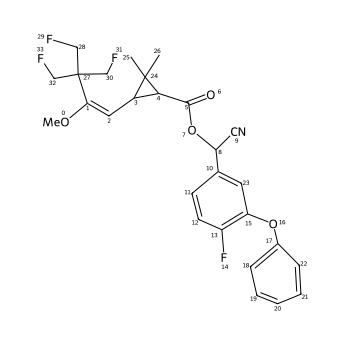 CO/C(=C/C1C(C(=O)OC(C#N)c2ccc(F)c(Oc3ccccc3)c2)C1(C)C)C(CF)(CF)CF